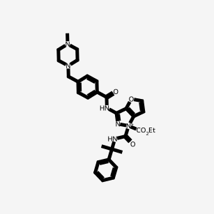 CCOC(=O)[N+]1(C(=O)NC(C)(C)c2ccccc2)N=C(NC(=O)c2ccc(CN3CCN(C)CC3)cc2)c2occc21